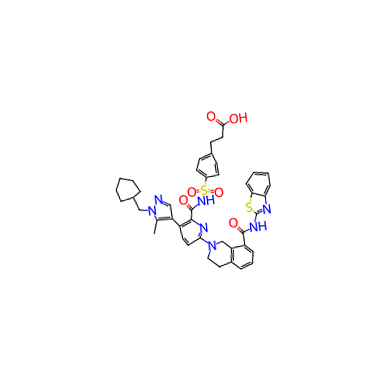 Cc1c(-c2ccc(N3CCc4cccc(C(=O)Nc5nc6ccccc6s5)c4C3)nc2C(=O)NS(=O)(=O)c2ccc(CCC(=O)O)cc2)cnn1CC1CCCCC1